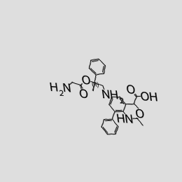 CC(=O)Nc1c(-c2ccccc2)cccc1C(C)C(=O)O.C[C@@](CN)(OC(=O)CN)c1ccccc1